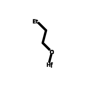 CCCC[O][Hf]